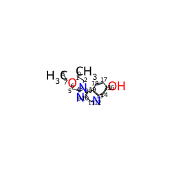 CCCn1c(COCC)nc2cnc3cc(O)ccc3c21